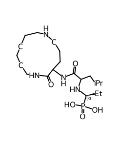 CC[C@H](NC(CC(C)C)C(=O)NC1CCCNCCCCCCNC1=O)P(=O)(O)O